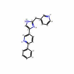 c1ccc(-c2ccc(-c3c[nH]c(Cc4cccnc4)n3)cn2)cc1